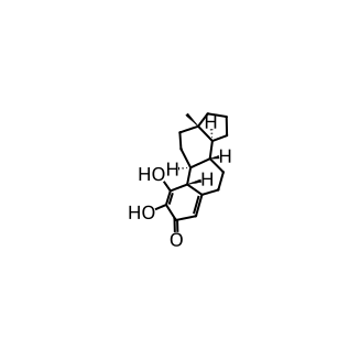 C[C@@]12CCC[C@H]1[C@@H]1CCC3=CC(=O)C(O)=C(O)[C@@H]3[C@H]1CC2